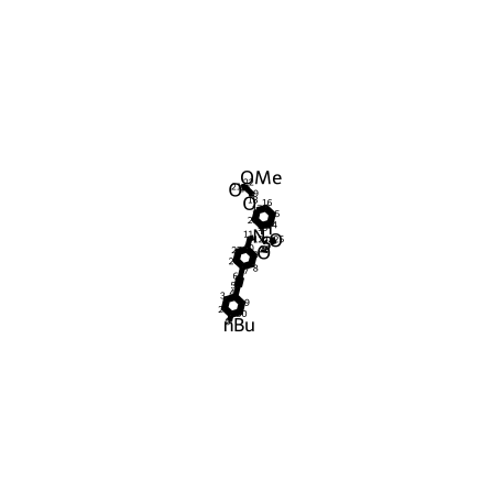 CCCCc1ccc(C#Cc2ccc(CN(c3cccc(OCC(=O)OC)c3)[SH](=O)=O)cc2)cc1